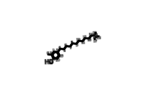 Cc1cc(CCCCCCCCCCC[Si](C)(C)C)ccc1O